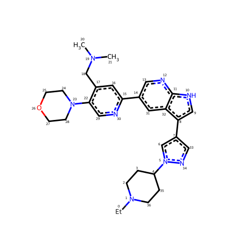 CCN1CCC(n2cc(-c3c[nH]c4ncc(-c5cc(CN(C)C)c(N6CCOCC6)cn5)cc34)cn2)CC1